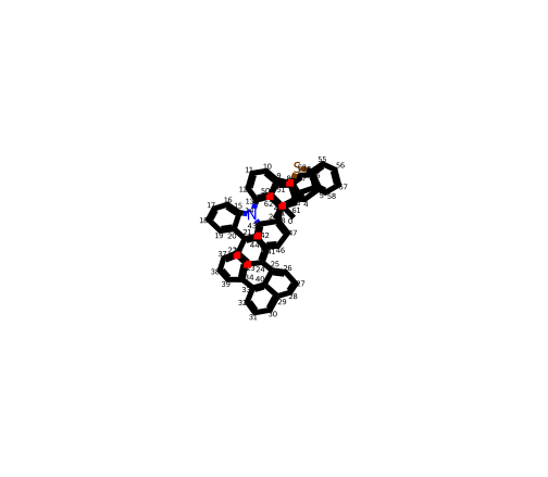 CC1(C)c2ccccc2-c2cccc(N(c3ccccc3-c3ccc(-c4cccc5cccc(-c6ccccc6)c45)cc3)c3ccccc3-c3ccc4sc5ccccc5c4c3)c21